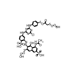 CC(=O)Nc1cc(S(=O)(=O)O)cc2cc(SOOO)c(N=Nc3cc(Nc4nc(Cl)nc(Nc5ccc(SOC(=O)CSOOO)cc5)n4)ccc3S(=O)(=O)O)c(O)c12